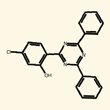 Oc1cc(Cl)ccc1-c1nc(-c2ccccc2)nc(-c2ccccc2)n1